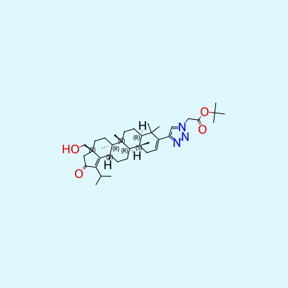 CC(C)C1=C2[C@H]3CC[C@@H]4[C@@]5(C)CC=C(c6cn(CC(=O)OC(C)(C)C)nn6)C(C)(C)[C@@H]5CC[C@@]4(C)[C@]3(C)CC[C@@]2(CO)CC1=O